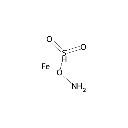 NO[SH](=O)=O.[Fe]